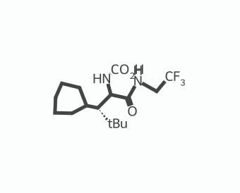 CC(C)(C)[C@H](C1CCCCC1)C(NC(=O)O)C(=O)NCC(F)(F)F